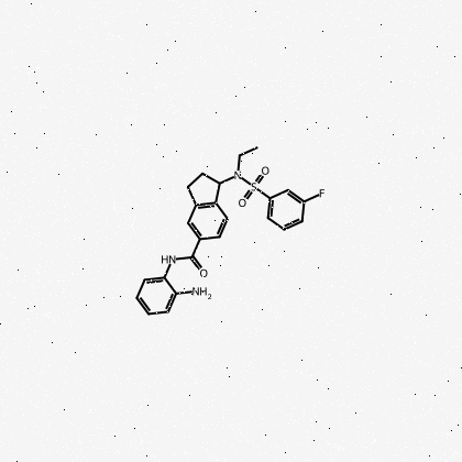 CCN(C1CCc2cc(C(=O)Nc3ccccc3N)ccc21)S(=O)(=O)c1cccc(F)c1